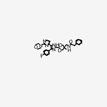 CC1(CNC(=O)Cc2ccccc2)COC(c2nc(-c3ccc(F)cc3)c(-c3ccnc(N4CCOCC4)n3)[nH]2)OC1